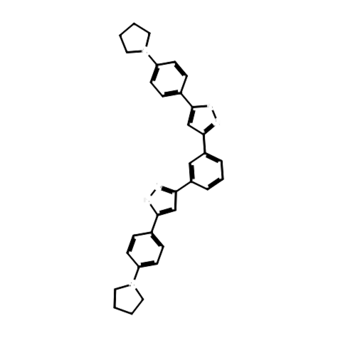 c1cc(-c2cc(-c3ccc(N4CCCC4)cc3)[nH]n2)cc(-c2cc(-c3ccc(N4CCCC4)cc3)[nH]n2)c1